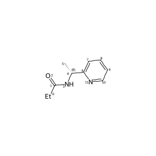 CCC(=O)N[C@H](C)c1ccccn1